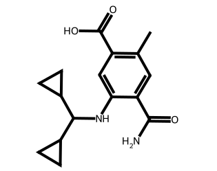 Cc1cc(C(N)=O)c(NC(C2CC2)C2CC2)cc1C(=O)O